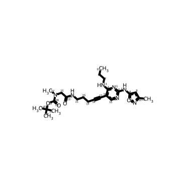 CCCNc1nc(Nc2cc(C)no2)ncc1C#CCCCNC(=O)CN(C)C(=O)OC(C)(C)C